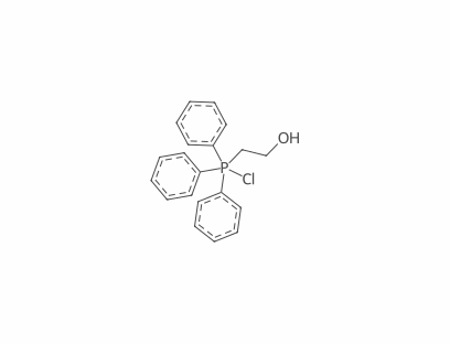 OCCP(Cl)(c1ccccc1)(c1ccccc1)c1ccccc1